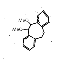 COC1c2ccccc2CCc2ccccc2C1OC